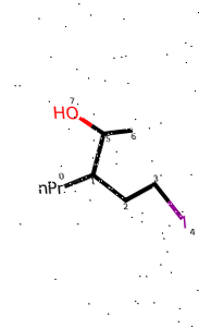 CCCC(CCI)C(C)O